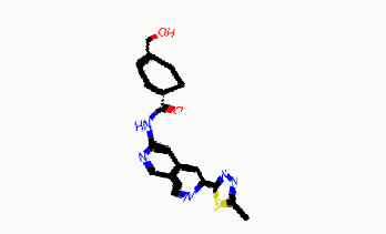 Cc1nnc(-c2cc3cc(NC(=O)[C@H]4CC[C@H](CO)CC4)ncc3cn2)s1